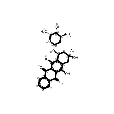 CC(=O)[C@]1(O)Cc2c(O)c3c(c(O)c2[C@@H](O[C@H]2C[C@H](N)[C@@H](O)[C@@H](C)O2)C1)C(=O)c1ccccc1C3=O